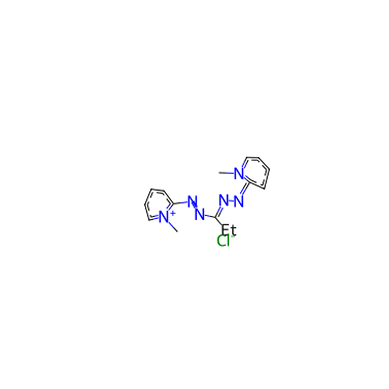 CCC(N=Nc1cccc[n+]1C)=NN=c1ccccn1C.[Cl-]